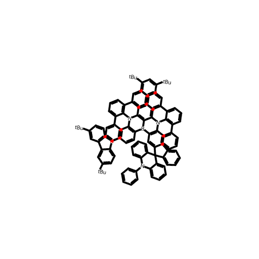 CC(C)(C)c1cc(-c2cc3c4c(c2)N(c2c(-c5ccccc5)cccc2-c2ccccc2)c2cc5c(cc2B4c2ccc(-n4c6ccc(C(C)(C)C)cc6c6cc(C(C)(C)C)ccc64)cc2N3c2c(-c3ccccc3)cccc2-c2ccccc2)C2(c3ccccc3-5)c3ccccc3N(c3ccccc3)c3ccccc32)cc(C(C)(C)C)c1